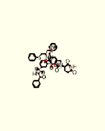 O=C1CCC(N2Cc3cc(CN4CC5CC(C4)N5CC[C@H](CSc4ccccc4)Nc4ccc(S(=O)(=O)NC(=O)c5ccccc5)cc4S(=O)(=O)C(F)(F)F)c(F)cc3C2=O)C(=O)N1